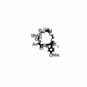 CCC1[C@@H]2CN(C(=O)[C@H](C(C)(C)C)NC(=O)O[C@]3(C)C[C@H]3CCCCC(F)(F)c3c(nc4cc(OC)ccc4c3C(F)(F)F)O2)[C@@H]1C(C)=O